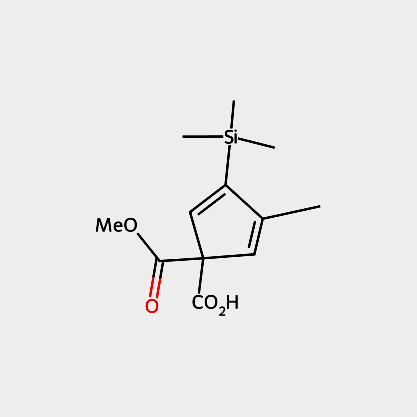 COC(=O)C1(C(=O)O)C=C(C)C([Si](C)(C)C)=C1